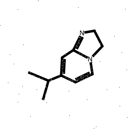 CC(C)C1=CC2=NCCN2C=C1